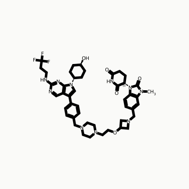 Cn1c(=O)n([C@H]2CCC(=O)NC2=O)c2ccc(CN3CC(OCCN4CCN(Cc5ccc(-c6cn([C@H]7CC[C@H](O)CC7)c7nc(NCCC(F)(F)F)ncc67)cc5)CC4)C3)cc21